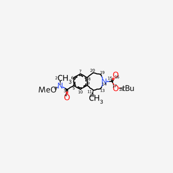 CON(C)C(=O)c1ccc2c(c1)[C@H](C)CN(C(=O)OC(C)(C)C)CC2